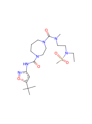 CCN(CCN(C)C(=O)N1CCCN(C(=O)Nc2cc(C(C)(C)C)on2)CC1)S(C)(=O)=O